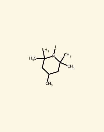 CC1CC(C)(C)N(I)C(C)(C)C1